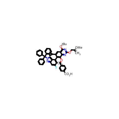 CO[C@@H](C)COc1nc(OC(C)(C)C)c2cc(C3CC3)c(-c3c(C)c(F)cc4nn(C(c5ccccc5)(c5ccccc5)c5ccccc5)cc34)c(OCc3ccc(C(=O)O)cc3)c2n1